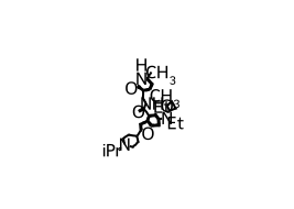 CCc1c(N(CC)C2CCO2)cc2oc(C3CCN(C(C)C)CC3)cc2c1C(=O)NCc1c(C)cc(C)[nH]c1=O